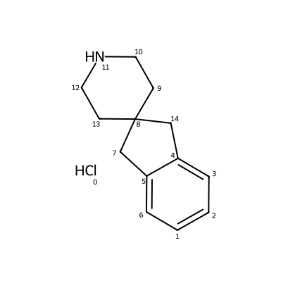 Cl.c1ccc2c(c1)CC1(CCNCC1)C2